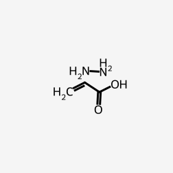 C=CC(=O)O.NN